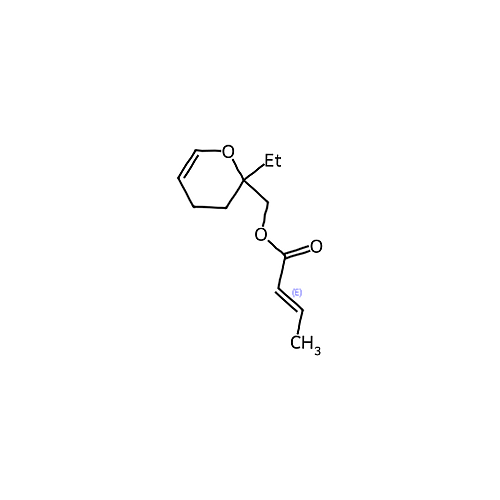 C/C=C/C(=O)OCC1(CC)CCC=CO1